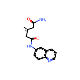 C[C@H]([CH]C(=O)Nc1ccc2ncccc2c1)CC(N)=O